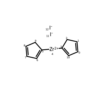 C1=CC[C]([Zr+2][C]2=CC=CC2)=C1.[I-].[I-]